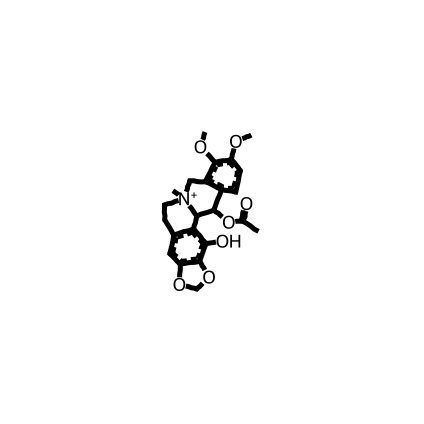 COc1ccc2c(c1OC)C[N+]1(C)CCc3cc4c(c(O)c3C1C2OC(C)=O)OCO4